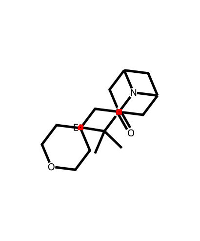 CCC(C)(C)N1CC2CC(C1)N2C(=O)CC1CCOCC1